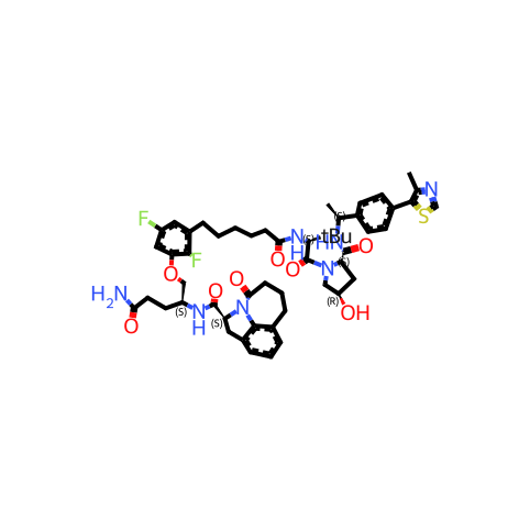 Cc1ncsc1-c1ccc([C@H](C)NC(=O)[C@@H]2C[C@@H](O)CN2C(=O)[C@@H](NC(=O)CCCCCc2cc(F)cc(OC[C@H](CCC(N)=O)NC(=O)[C@@H]3Cc4cccc5c4N3C(=O)CCC5)c2F)C(C)(C)C)cc1